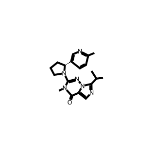 Cc1ccc([C@H]2CCCN2c2nn3c(C(C)C)ncc3c(=O)n2C)cn1